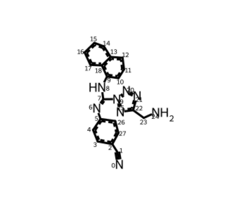 N#Cc1ccc(N=C(Nc2cccc3ccccc23)n2nnc(CN)n2)cc1